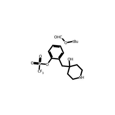 CC(C)(C)OC=O.O=S(=O)(Oc1ccccc1CC1(O)CCNCC1)C(F)(F)F